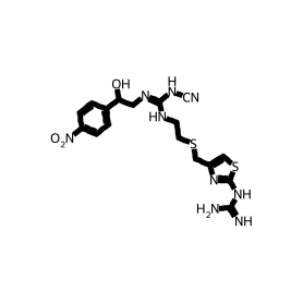 N#CNC(=NCC(O)c1ccc([N+](=O)[O-])cc1)NCCSCc1csc(NC(=N)N)n1